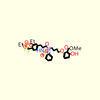 CCOP(=O)(OCC)C(F)(F)c1ccc(CC(NS(=O)(=O)c2ccccc2)C(=O)NCCCCOc2cccc(O)c2C(=O)OC)cc1